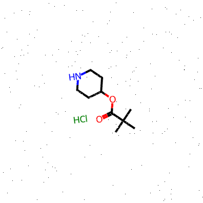 CC(C)(C)C(=O)OC1CCNCC1.Cl